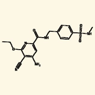 CCOc1nc(C(=O)NCc2ccc(S(=O)(=O)NC)cc2)cc(N)c1C#N